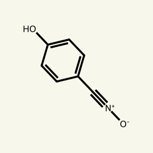 [O-][N+]#Cc1ccc(O)cc1